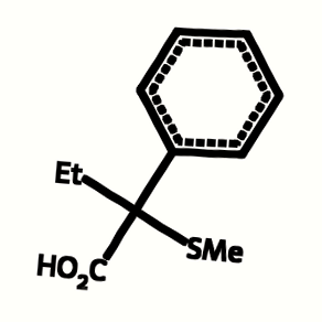 CCC(SC)(C(=O)O)c1ccccc1